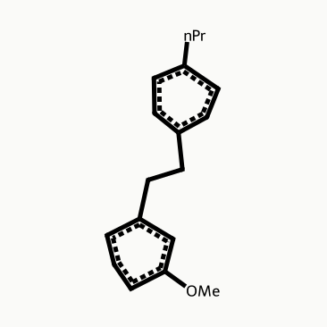 CCCc1ccc(CCc2cccc(OC)c2)cc1